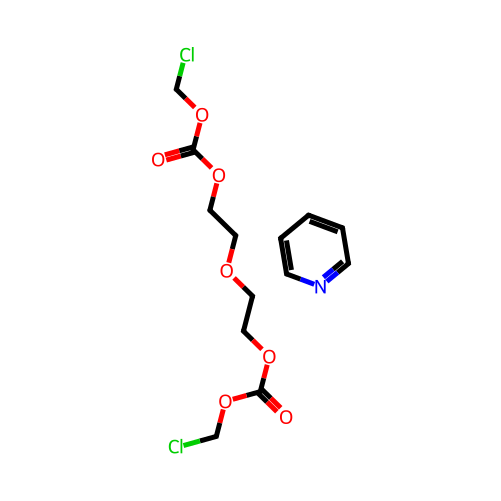 O=C(OCCl)OCCOCCOC(=O)OCCl.c1ccncc1